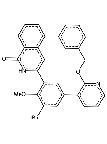 COc1c(-c2cc3ccccc3c(=O)[nH]2)cc(-c2cccnc2OCc2ccccc2)cc1C(C)(C)C